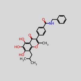 Cc1oc2c(CC(C)C)c(O)c(O)c(O)c2c(=O)c1-c1ccc(C(=O)NCc2ccccc2)cc1